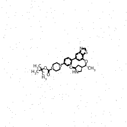 C[C@@H](Oc1cc(-c2ccc(N3CCN(C(=O)OC(C)(C)C)CC3)cc2)cc2ncsc12)[C@H]1CNC(=O)C1